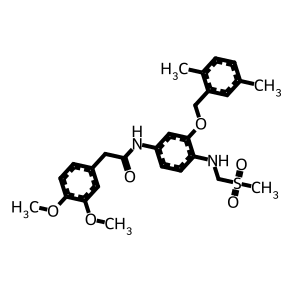 COc1ccc(CC(=O)Nc2ccc(NCS(C)(=O)=O)c(OCc3cc(C)ccc3C)c2)cc1OC